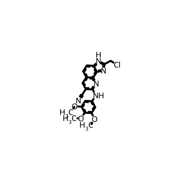 COc1cc(Nc2nc3c(ccc4[nH]c(CCl)nc43)cc2C#N)cc(OC)c1OC